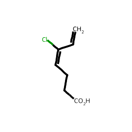 C=C/C(Cl)=C\CCC(=O)O